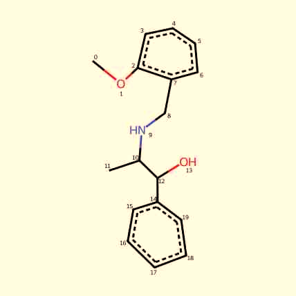 COc1ccccc1CNC(C)C(O)c1ccccc1